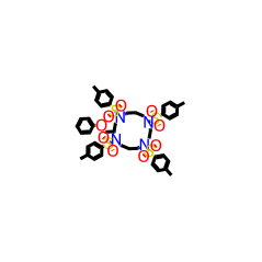 Cc1ccc(S(=O)(=O)N2CCCN(S(=O)(=O)c3ccc(C)cc3)CC(COc3ccccc3)N(S(=O)(=O)c3ccc(C)cc3)CCCN(S(=O)(=O)c3ccc(C)cc3)CC2)cc1